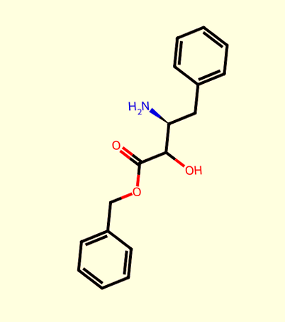 N[C@@H](Cc1ccccc1)C(O)C(=O)OCc1ccccc1